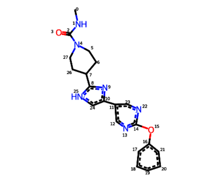 CNC(=O)N1CCC(c2nc(-c3cnc(Oc4ccccc4)nc3)c[nH]2)CC1